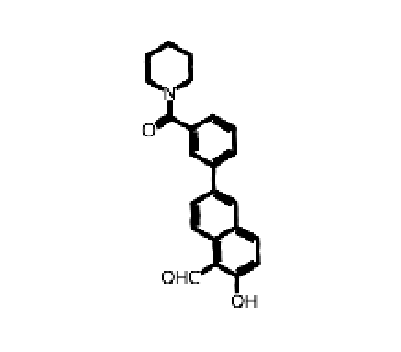 O=Cc1c(O)ccc2cc(-c3cccc(C(=O)N4CCCCC4)c3)ccc12